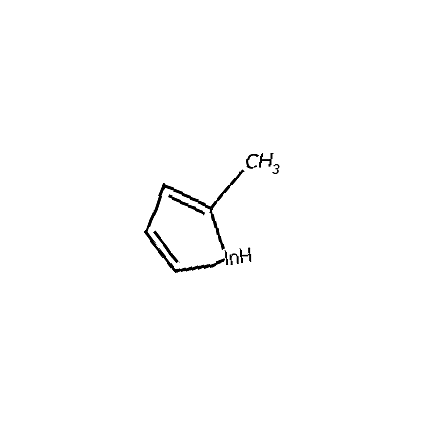 C[C]1=CC=[CH][InH]1